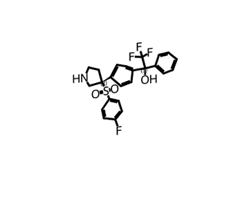 O=S(=O)(c1ccc(F)cc1)[C@@]1(c2ccc([C@@](O)(c3ccccc3)C(F)(F)F)cc2)CCNC1